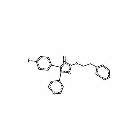 Fc1ccc(-c2[nH]c(SCCc3ccccc3)nc2-c2ccncc2)cc1